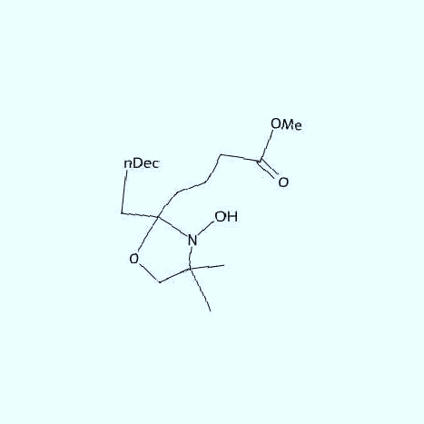 CCCCCCCCCCCC1(CCCC(=O)OC)OCC(C)(C)N1O